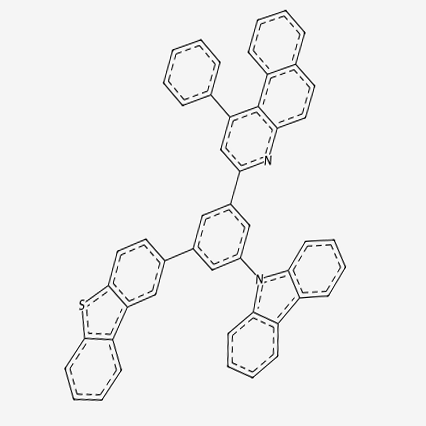 c1ccc(-c2cc(-c3cc(-c4ccc5sc6ccccc6c5c4)cc(-n4c5ccccc5c5ccccc54)c3)nc3ccc4ccccc4c23)cc1